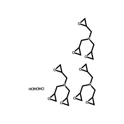 C1OC1CN(CC1CO1)CC1CO1.C1OC1CN(CC1CO1)CC1CO1.C1OC1CN(CC1CO1)CC1CO1.Cl.Cl.Cl